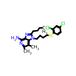 CCCCc1nc2c(N)nc(C)c(C)c2n1CCCCSc1ccc(Cl)cc1Cl